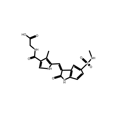 CNS(=O)(=O)c1ccc2c(c1)/C(=C/c1[nH]cc(C(=O)NCC(=O)O)c1C)C(=O)N2